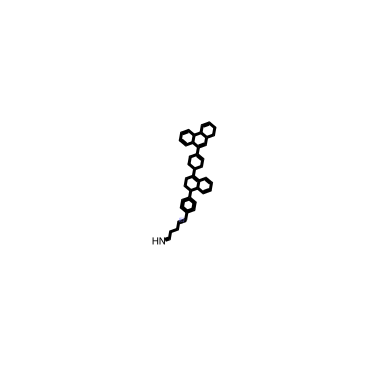 N=CCC/C=C/c1ccc(C2CCC(C3CC=C(C4=CC5CCC=CC5C5C=CC=CC45)CC3)=C3C=CC=CC32)cc1